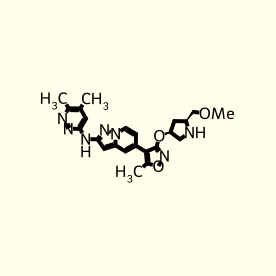 COC[C@@H]1C[C@H](Oc2noc(C)c2-c2ccn3nc(Nc4cc(C)c(C)nn4)cc3c2)CN1